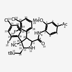 COc1cc(C(C)=O)ccc1NC(=O)C1N[C@@H](CC(C)(C)C)[C@](C#N)(c2ccc(Cl)cc2F)C1c1cccc(Cl)c1F